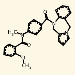 COc1ccccc1C(=O)N(C)c1ccc(C(=O)N2Cc3cccn3Cc3ccccc32)cc1